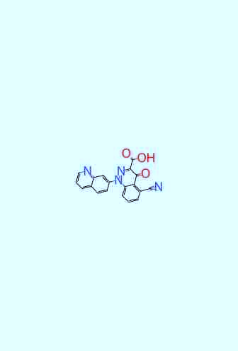 N#Cc1cccc2c1c(=O)c(C(=O)O)nn2-c1ccc2cccnc2c1